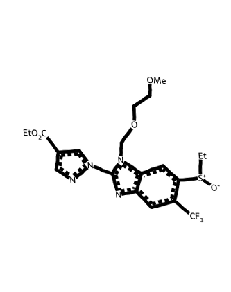 CCOC(=O)c1cnn(-c2nc3cc(C(F)(F)F)c([S+]([O-])CC)cc3n2COCCOC)c1